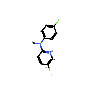 CN(c1ccc(F)cc1)c1ccc(F)cn1